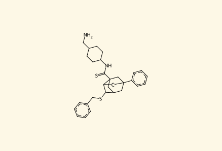 NCC1CCC(NC(=S)C23CC4CC(c5ccccc5)(CC2C4SCc2ccccc2)C3)CC1